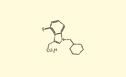 O=C(O)Cc1cn(CC2CCCCC2)c2cccc(F)c12